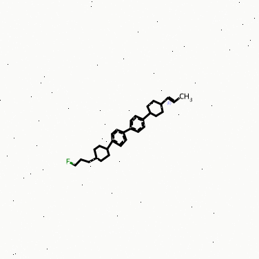 C/C=C/C1CCC(c2ccc(-c3ccc(C4CCC(CCCF)CC4)cc3)cc2)CC1